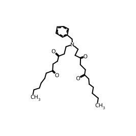 CCCCCCC(=O)CCC(=O)CCN(CCC(=O)CCC(=O)CCCCCC)Cc1ccccc1